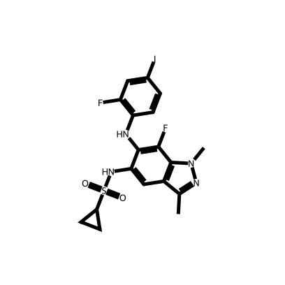 Cc1nn(C)c2c(F)c(Nc3ccc(I)cc3F)c(NS(=O)(=O)C3CC3)cc12